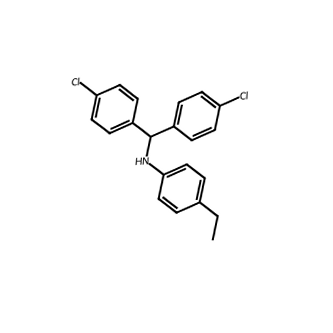 CCc1ccc(NC(c2ccc(Cl)cc2)c2ccc(Cl)cc2)cc1